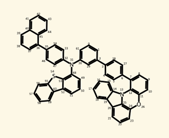 c1cc(-c2ccc(-c3cccc4c3-n3c5ccccc5c5cccc(c53)O4)cc2)cc(N(c2ccc(-c3cccc4ccccc34)cc2)c2cccc3c2sc2ccccc23)c1